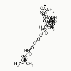 CC1=CC(C)=[N+]2C1=Cc1ccc(CCC(=O)NCCOCCOCCOCCOCCC(=O)NCC(C)(C)SSCOC3C[C@H](n4cnc5c(=O)[nH]c(N)nc54)O[C@@H]3COP(=O)(O)OP(=O)(O)OP(=O)(O)O)n1[B-]2(F)F